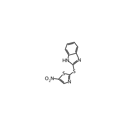 O=[N+]([O-])c1cnc(Sc2nc3ccccc3[nH]2)s1